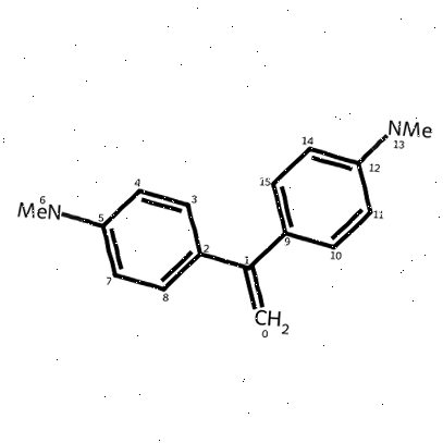 C=C(c1ccc(NC)cc1)c1ccc(NC)cc1